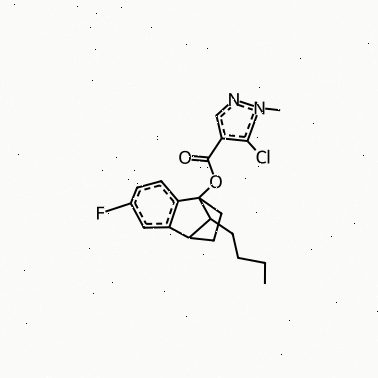 CCCCC1C2CCC1(OC(=O)c1cnn(C)c1Cl)c1ccc(F)cc12